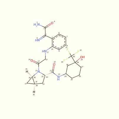 N=C(C(N)=O)c1ccccc1NCC(=O)N1[C@@H]2C[C@@H]2C[C@H]1C(=O)NC1CCCC(O)(C(F)(F)F)C1